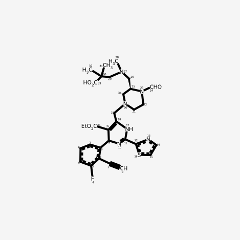 C#Cc1c(F)cccc1C1N=C(c2nccs2)NC(CN2CCN(C=O)[C@H](CN(C)CC(C)(C)C(=O)O)C2)=C1C(=O)OCC